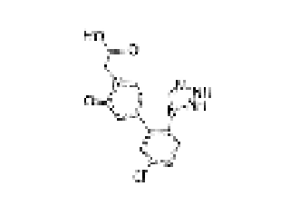 O=C(O)Cn1ccc(-c2cc(Cl)ccc2N2C=NNN2)cc1=O